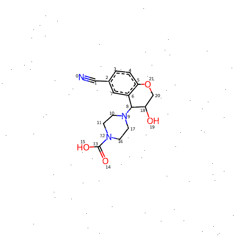 N#Cc1ccc2c(c1)C(N1CCN(C(=O)O)CC1)C(O)CO2